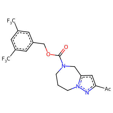 CC(=O)c1cc2n(n1)CCCN(C(=O)OCc1cc(C(F)(F)F)cc(C(F)(F)F)c1)C2